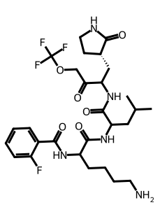 CC(C)CC(NC(=O)C(CCCCN)NC(=O)c1ccccc1F)C(=O)NC(C[C@@H]1CCNC1=O)C(=O)COC(F)(F)F